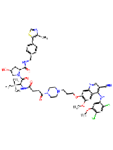 COc1cc(Nc2c(C#N)cnc3cc(OCCCN4CCN(C(=O)CCC(=O)NC(C(=O)N5CC(O)CC5C(=O)NCc5ccc(-c6scnc6C)cc5)C(C)(C)C)CC4)c(OC)cc23)c(Cl)cc1Cl